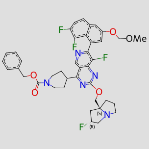 COCOc1cc(-c2ncc3c(C4CCN(C(=O)OCc5ccccc5)CC4)nc(OC[C@@]45CCCN4C[C@H](F)C5)nc3c2F)c2c(F)c(F)ccc2c1